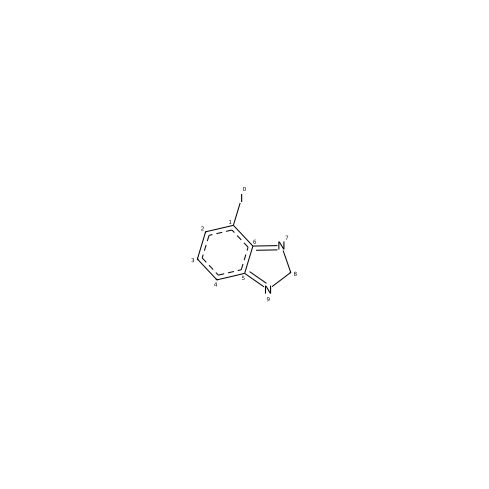 Ic1cccc2c1=NCN=2